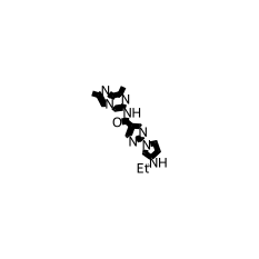 CCNC1CCN(c2ncc(C(=O)Nc3cn4cc(C)nc4c(C)n3)cn2)C1